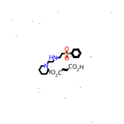 O=C(O)C=CC(=O)O.O=S(=O)(CCNCCN1CCCCC1)c1ccccc1